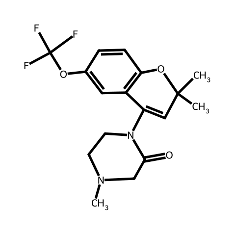 CN1CCN(C2=CC(C)(C)Oc3ccc(OC(F)(F)F)cc32)C(=O)C1